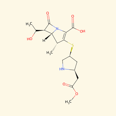 COC(=O)C[C@@H]1C[C@H](SC2=C(C(=O)O)N3C(=O)[C@H](C(C)O)[C@H]3[C@H]2C)CN1